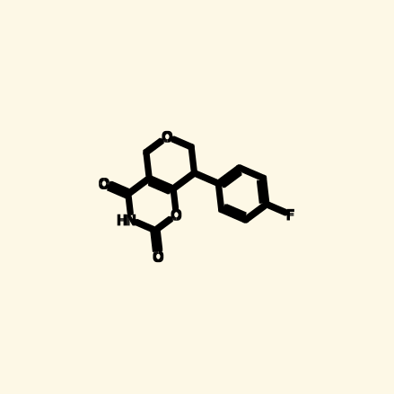 O=c1[nH]c(=O)c2c(o1)C(c1ccc(F)cc1)COC2